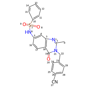 Cc1nc2cc(NS(=O)(=O)c3ccccc3)ccc2c(=O)n1Cc1ccc(C#N)cc1